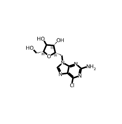 Nc1nc(Cl)c2ncn(C[C@@H]3O[C@H](CO)C(O)[C@@H]3O)c2n1